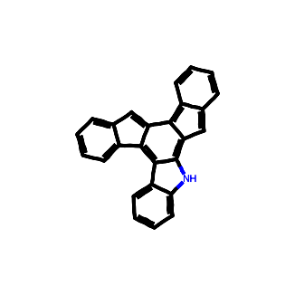 C1=c2ccccc2=c2c1c1[nH]c3ccccc3c1c1c2=Cc2ccccc2-1